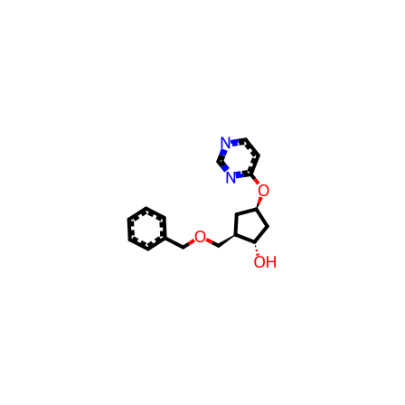 O[C@H]1C[C@H](Oc2ccncn2)C[C@@H]1COCc1ccccc1